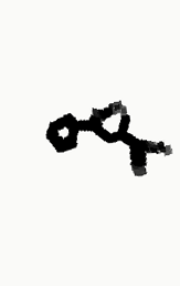 CC(CC(OC(F)(F)F)c1ccccc1)C(N)=O